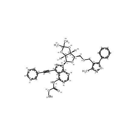 Cc1noc(-c2ccccc2)c1CSC[C@H]1O[C@@H](n2nc(C#Cc3cncnc3)c3c(NC(=O)OC(C)(C)C)ncnc32)[C@@H]2OC(C)(C)O[C@@H]21